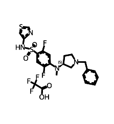 CN(c1cc(F)c(S(=O)(=O)Nc2cscn2)cc1F)[C@H]1CCN(Cc2ccccc2)C1.O=C(O)C(F)(F)F